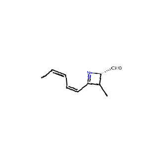 C/C=C\C=C/C1=N[C@H](C=O)C1C